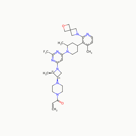 C=CC(=O)N1CCN([C@@H]2CN(c3cc(N4CCC(c5c(C)ccnc5N5CC6(COC6)C5)CC4C)nc(C(F)(F)F)n3)[C@@H]2C)CC1